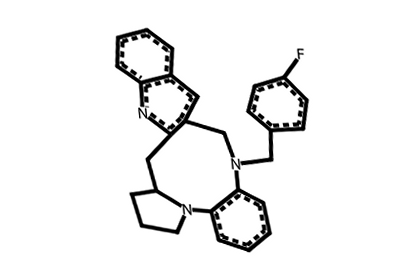 Fc1ccc(CN2Cc3cc4ccccc4nc3CC3CCCN3c3ccccc32)cc1